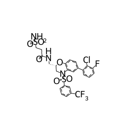 NS(=O)(=O)CCC(=O)NC[C@H]1CN(S(=O)(=O)c2cccc(C(F)(F)F)c2)c2cc(-c3cccc(F)c3Cl)ccc2O1